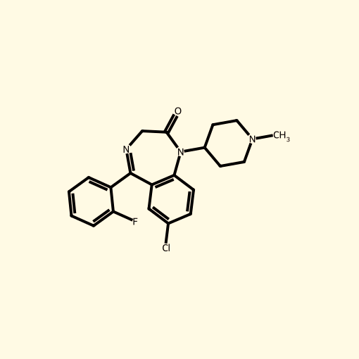 CN1CCC(N2C(=O)CN=C(c3ccccc3F)c3cc(Cl)ccc32)CC1